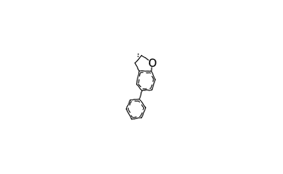 [C]1Cc2cc(-c3ccccc3)ccc2O1